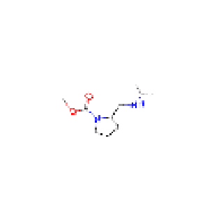 COC(=O)N1CCCC1CNC(C)C